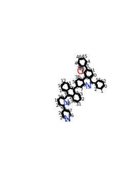 c1ccc(-c2nc3cc(-c4c5ccccc5c(-c5cccc(-c6ccncc6)n5)c5ccccc45)ccc3c3c2ccc2c4ccccc4oc23)cc1